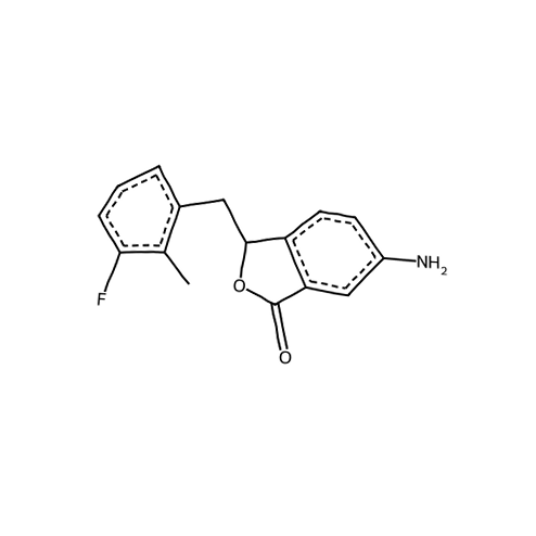 Cc1c(F)cccc1CC1OC(=O)c2cc(N)ccc21